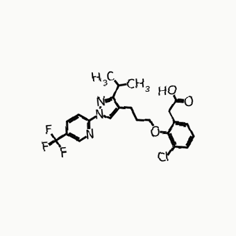 CC(C)c1nn(-c2ccc(C(F)(F)F)cn2)cc1CCCOc1c(Cl)cccc1CC(=O)O